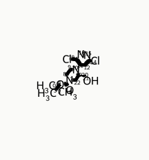 CC(C)(C)OC(=O)N1CCN(c2cc(Cl)nnc2Cl)[C@@H](CO)C1